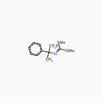 CCOC(=O)C(C)(N=C(OC)SC)c1ccccc1